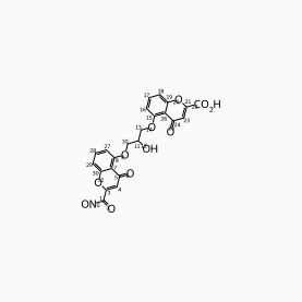 O=NC(=O)c1cc(=O)c2c(OCC(O)COc3cccc4oc(C(=O)O)cc(=O)c34)cccc2o1